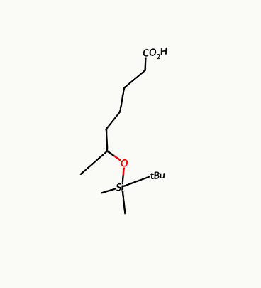 CC(CCCCC(=O)O)O[Si](C)(C)C(C)(C)C